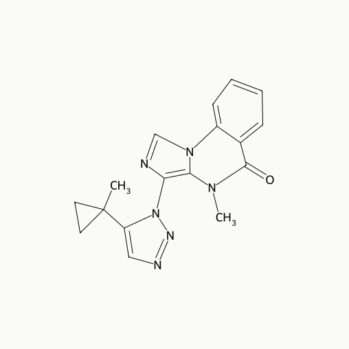 Cn1c(=O)c2ccccc2n2cnc(-n3nncc3C3(C)CC3)c12